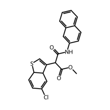 COC(=O)C(C(=O)Nc1ccc2ccccc2c1)C1=CSC2C=CC(Cl)=CC12